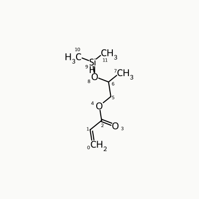 C=CC(=O)OCC(C)O[SiH](C)C